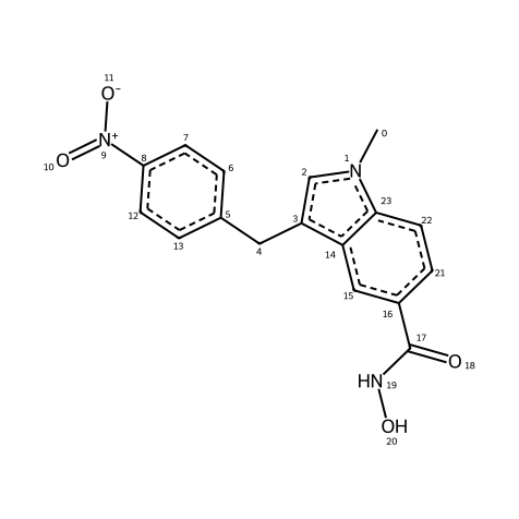 Cn1cc(Cc2ccc([N+](=O)[O-])cc2)c2cc(C(=O)NO)ccc21